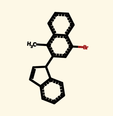 Cc1c(C2C=Cc3ccccc32)cc(Br)c2ccccc12